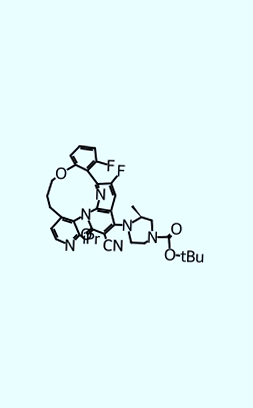 CC(C)c1nccc2c1-n1c(=O)c(C#N)c(N3CCN(C(=O)OC(C)(C)C)C[C@@H]3C)c3cc(F)c(nc31)-c1c(F)cccc1OCCC2